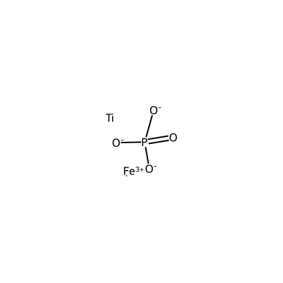 O=P([O-])([O-])[O-].[Fe+3].[Ti]